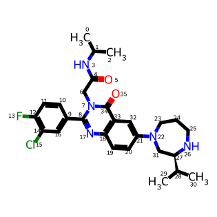 CC(C)NC(=O)Cn1c(-c2ccc(F)c(Cl)c2)nc2ccc(N3CCCN[C@@H](C(C)C)C3)cc2c1=O